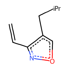 C=Cc1nocc1CC(C)C